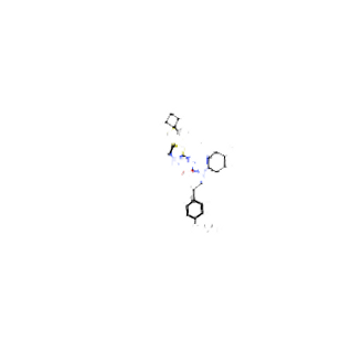 COc1ccc(CCN(C(=O)Nc2ncc(SC3(C(=O)O)CCC3)s2)[C@H]2CC[C@H](C)CC2)cc1